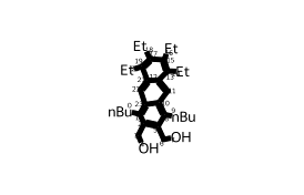 CCCCc1c(CO)c(CO)c(CCCC)c2cc3c(CC)c(CC)c(CC)c(CC)c3cc12